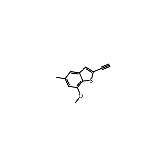 C#Cc1cc2cc(C)cc(OC)c2s1